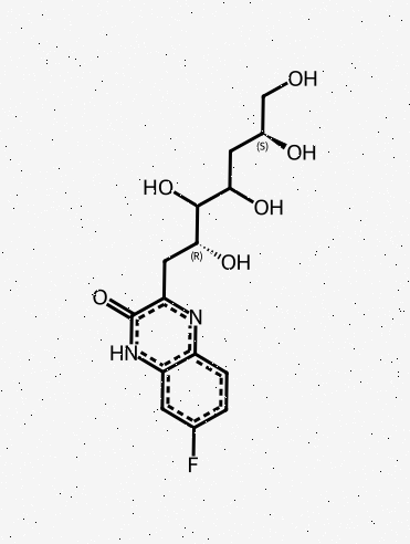 O=c1[nH]c2cc(F)ccc2nc1C[C@@H](O)C(O)C(O)C[C@H](O)CO